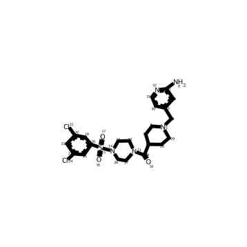 Nc1cc(CN2CCC(C(=O)N3CCN(S(=O)(=O)c4cc(Cl)cc(Cl)c4)CC3)CC2)ccn1